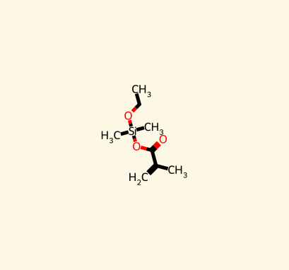 C=C(C)C(=O)O[Si](C)(C)OCC